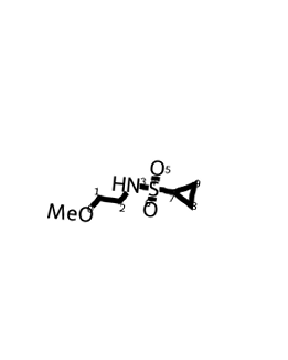 COCCNS(=O)(=O)C1CC1